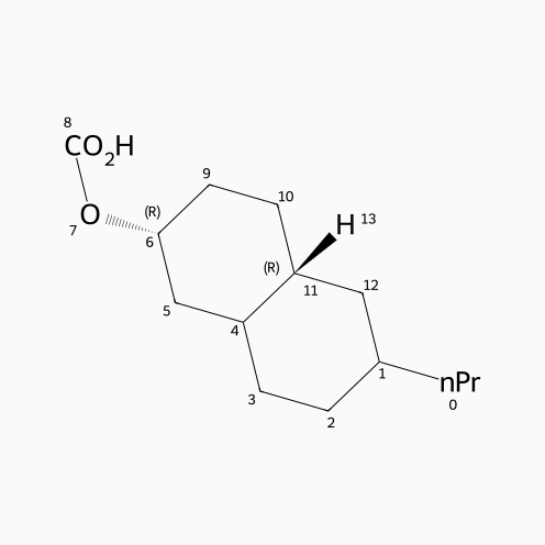 CCCC1CCC2C[C@H](OC(=O)O)CC[C@@H]2C1